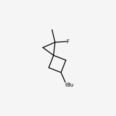 CC(C)(C)C1CC2(C1)CC2(C)F